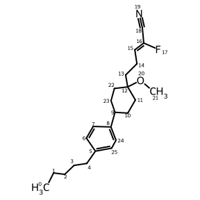 CCCCCc1ccc(C2CCC(CCC=C(F)C#N)(OC)CC2)cc1